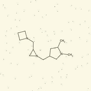 CC1CC(CN2CC2CN2CCC2)CN1C